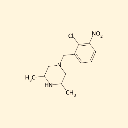 CC1CN(Cc2cccc([N+](=O)[O-])c2Cl)CC(C)N1